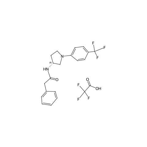 O=C(Cc1ccccc1)N[C@@H]1CCN(c2ccc(C(F)(F)F)cc2)C1.O=C(O)C(F)(F)F